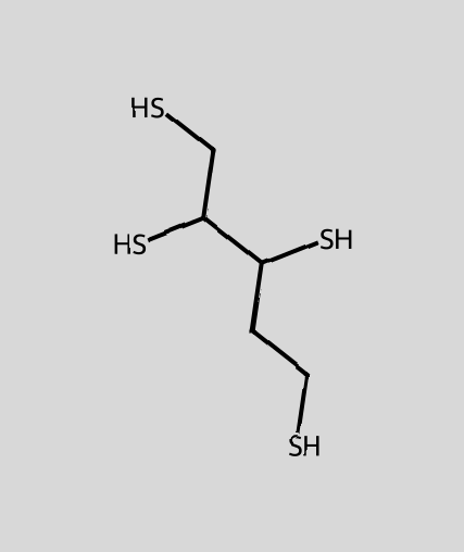 SCCC(S)C(S)CS